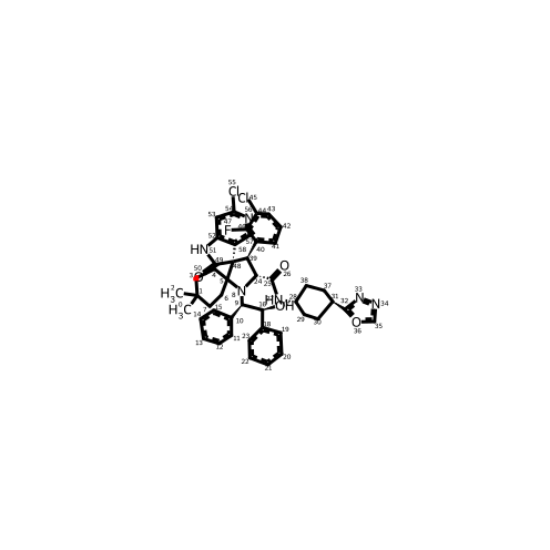 CC1(C)CCC2(CC1)N([C@H](c1ccccc1)[C@@H](O)c1ccccc1)[C@@H](C(=O)N[C@H]1CC[C@H](c3nnco3)CC1)[C@H](c1cccc(Cl)c1F)[C@]21C(=O)Nc2cc(Cl)ncc21